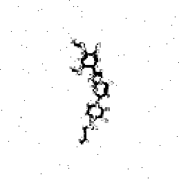 CCCSN1CCN(c2ccn3cc(-c4cc(Cl)c(OC)cc4OC)nc3n2)CC1